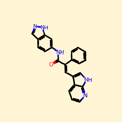 O=C(Nc1ccc2cn[nH]c2c1)/C(=C/c1c[nH]c2ncccc12)c1ccccc1